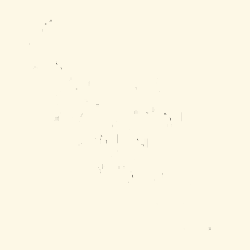 O=C(N[C@@H](CSCC1CCCCC1)C(=O)NCc1ccc(N2CCOCC2)cc1)[C@@H]1CSCN1